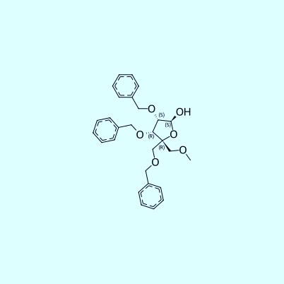 COC[C@]1(COCc2ccccc2)O[C@H](O)[C@@H](OCc2ccccc2)[C@H]1OCc1ccccc1